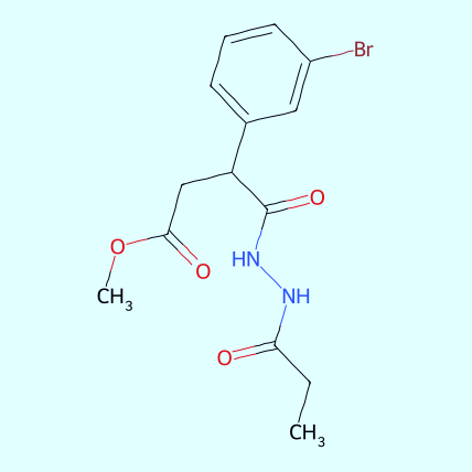 CCC(=O)NNC(=O)C(CC(=O)OC)c1cccc(Br)c1